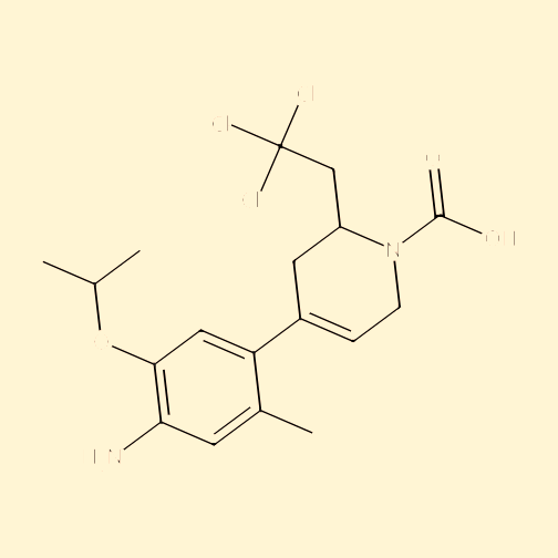 Cc1cc(N)c(OC(C)C)cc1C1=CCN(C(=O)O)C(CC(Cl)(Cl)Cl)C1